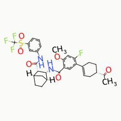 COc1cc(F)c(C2=CC[C@@H](C(C)=O)CC2)cc1C(=O)N[C@@H]1[C@H]2CC[C@H](C2)[C@@H]1C(=O)Nc1cccc(S(=O)(=O)C(F)(F)F)c1